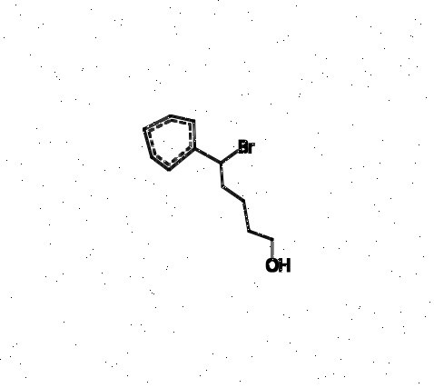 OCCCCC(Br)c1ccccc1